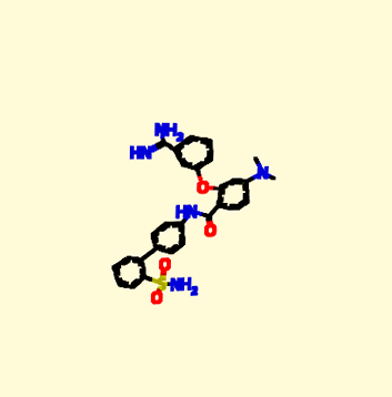 CN(C)c1ccc(C(=O)Nc2ccc(-c3ccccc3S(N)(=O)=O)cc2)c(Oc2cccc(C(=N)N)c2)c1